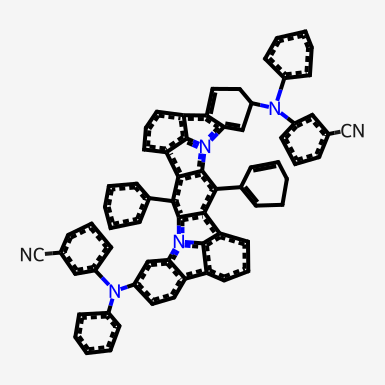 N#Cc1cccc(N(c2ccccc2)c2ccc3c4cccc5c6c(C7=CCCC=C7)c7c(c(-c8ccccc8)c6n(c3c2)c45)c2cccc3c4c(n7c32)=CC(N(c2ccccc2)c2cccc(C#N)c2)CC=4)c1